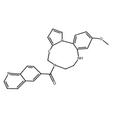 COc1ccc2c(c1)NCCN(C(=O)c1ccc3ncccc3c1)CCc1cccn1-2